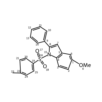 COc1ccc2c(c1)cc(-c1ccccc1)n2S(=O)(=O)c1ccc(C)cc1